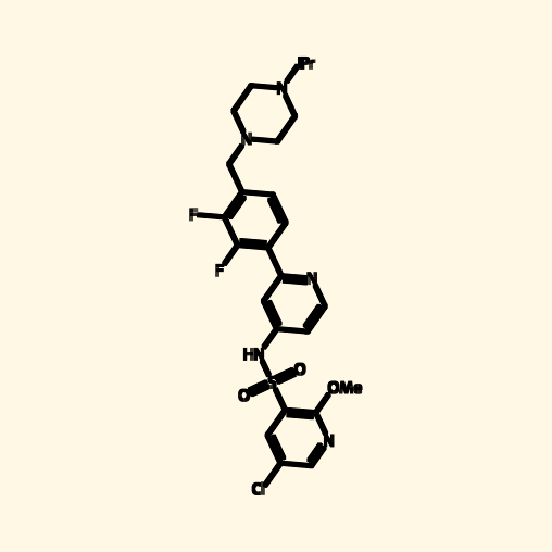 COc1ncc(Cl)cc1S(=O)(=O)Nc1ccnc(-c2ccc(CN3CCN(C(C)C)CC3)c(F)c2F)c1